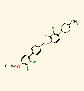 CCCCCCOc1ccc(-c2ccc(COc3ccc(C4CCC(C)CC4)c(F)c3F)cc2)c(F)c1F